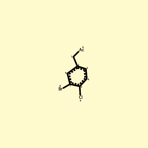 CC(=O)Cc1ccc(Cl)c(Br)c1